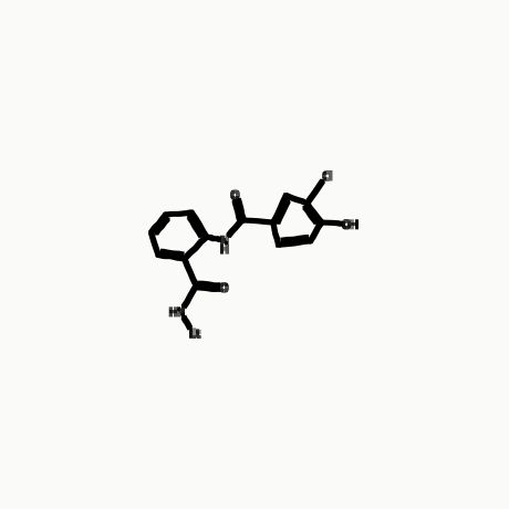 CCNC(=O)c1ccccc1NC(=O)c1ccc(O)c(Cl)c1